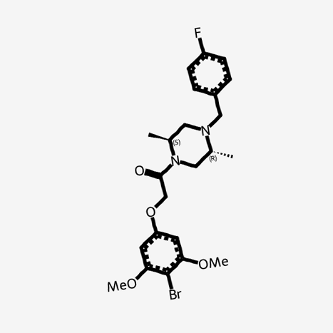 COc1cc(OCC(=O)N2C[C@@H](C)N(Cc3ccc(F)cc3)C[C@@H]2C)cc(OC)c1Br